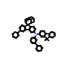 CC1(C)c2ccccc2-c2ccc(N(c3cccc(-c4ccccc4)c3)c3ccc4c(c3)-c3cc(-c5ccccc5)ccc3C43C4CC5CC(C4)CC3C5)cc21